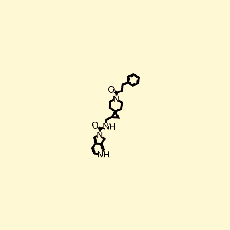 O=C(NCC1CC12CCN(C(=O)CCc1ccccc1)CC2)N1C=C2C=CNC=C2C1